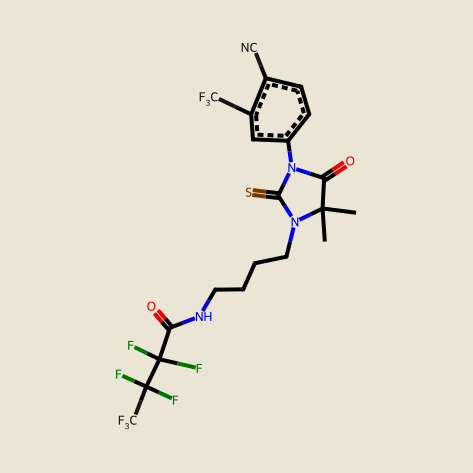 CC1(C)C(=O)N(c2ccc(C#N)c(C(F)(F)F)c2)C(=S)N1CCCCNC(=O)C(F)(F)C(F)(F)C(F)(F)F